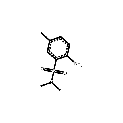 Cc1ccc(N)c(S(=O)(=O)N(C)C)c1